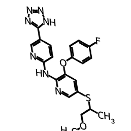 COCC(C)Sc1cnc(Nc2ccc(-c3nnn[nH]3)cn2)c(Oc2ccc(F)cc2)c1